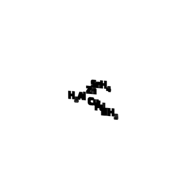 [AlH3].[BiH3].[Cu].[Pd].[SnH4].[Zn]